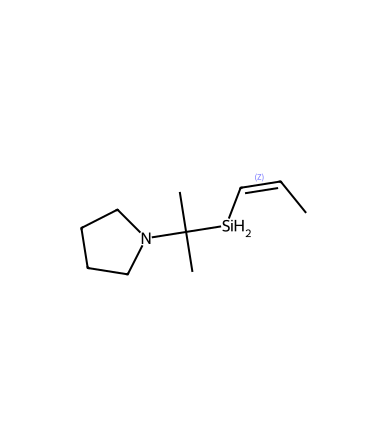 C/C=C\[SiH2]C(C)(C)N1CCCC1